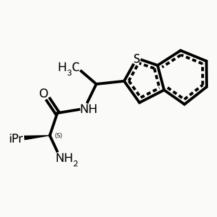 CC(NC(=O)[C@@H](N)C(C)C)c1cc2ccccc2s1